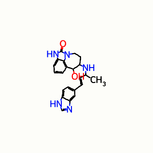 CC(/C=C/c1ccc2[nH]cnc2c1)NC1CCn2c(=O)[nH]c3cccc(c32)C1O